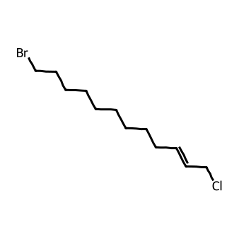 ClCC=CCCCCCCCCCBr